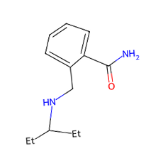 CCC(CC)NCc1ccccc1C(N)=O